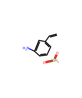 C=Cc1cccc(N)c1.O=[SH2]=O